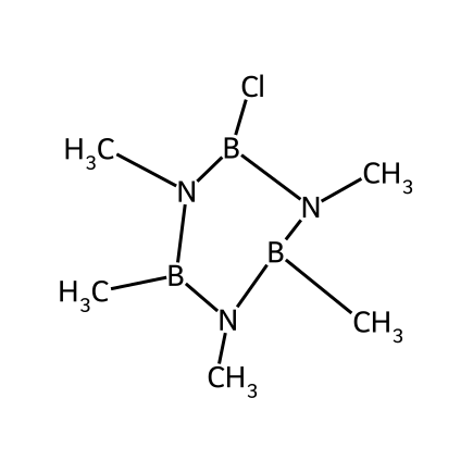 CB1N(C)B(C)N(C)B(Cl)N1C